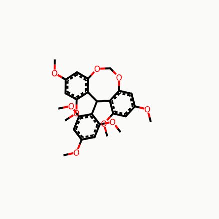 COc1cc(OC)c(C2c3c(OC)cc(OC)cc3OCOc3cc(OC)cc(OC)c32)c(OC)c1